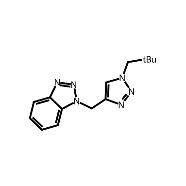 CC(C)(C)Cn1cc(Cn2nnc3ccccc32)nn1